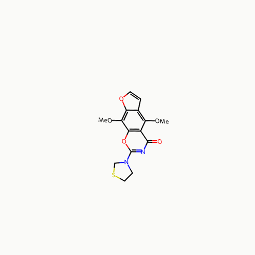 COc1c2occc2c(OC)c2c(=O)nc(N3CCSC3)oc12